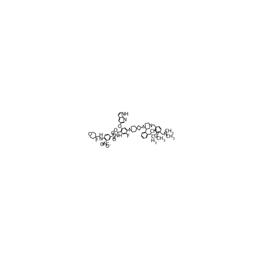 COc1cc(CN2CCN(C3CC4(CCN(c5cc(Oc6cnc7[nH]ccc7c6)c(C(=O)NS(=O)(=O)c6ccc(NCC7(F)CCOCC7)c([N+](=O)[O-])c6)cc5F)CC4)C3)C(c3ccccc3C(C)C)C2)ccc1CN(C)C